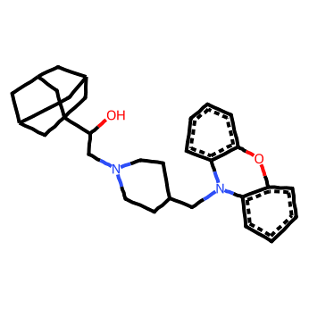 OC(CN1CCC(CN2c3ccccc3Oc3ccccc32)CC1)C12CC3CC(CC(C3)C1)C2